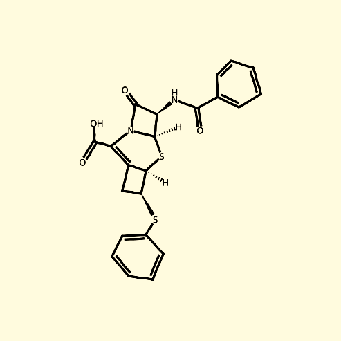 O=C(O)C1=C2C[C@H](Sc3ccccc3)[C@@H]2S[C@@H]2[C@H](NC(=O)c3ccccc3)C(=O)N12